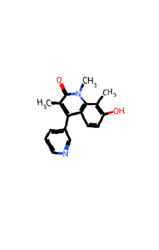 Cc1c(-c2cccnc2)c2ccc(O)c(C)c2n(C)c1=O